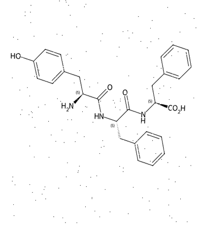 N[C@@H](Cc1ccc(O)cc1)C(=O)N[C@@H](Cc1ccccc1)C(=O)N[C@@H](Cc1ccccc1)C(=O)O